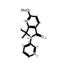 COc1ccc2c(n1)C(C)(C)N(c1cccnc1)C2=O